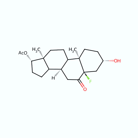 CC(=O)O[C@H]1CCC2[C@@H]3CC(=O)[C@@]4(F)C[C@@H](O)CC[C@]4(C)C3CC[C@@]21C